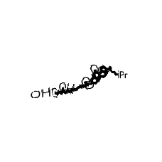 CC(C)CCCC(C)C1CCC2C3C(=O)C=C4CC(OC(=O)CCCCCCCC(O)CCCC=O)CCC4(C)C3CCC12C